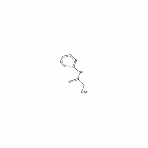 CC(=O)OCC(=O)Nc1ccccn1